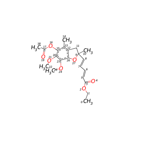 CCOC(=O)C=CC=CC1(C)Cc2c(C)c(OC(C)=O)c(OC)c(OC)c2O1